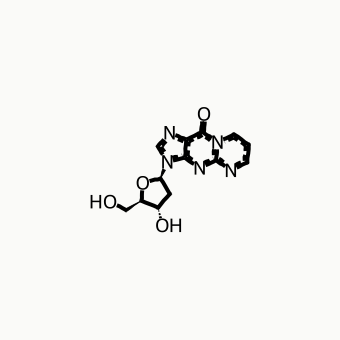 O=c1c2ncn([C@H]3C[C@H](O)[C@@H](CO)O3)c2nc2ncccn12